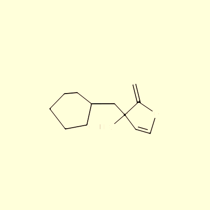 CC1(CC2CCCCC2)C=COC1=O